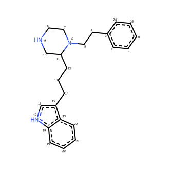 c1ccc(CCN2CCNCC2CCCc2c[nH]c3ccccc23)cc1